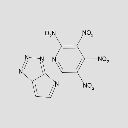 C1=NC2=NN=NC2=C1.O=[N+]([O-])c1cnc([N+](=O)[O-])c([N+](=O)[O-])c1[N+](=O)[O-]